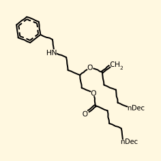 C=C(CCCCCCCCCCCCC)OC(CCNCc1ccccc1)COC(=O)CCCCCCCCCCCCC